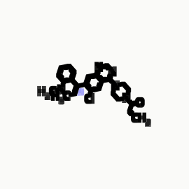 C=CC(=O)N1CCN(c2ncnc3cc(/C(=C/C)c4ccccc4N=C)c(Cl)cc23)CC1